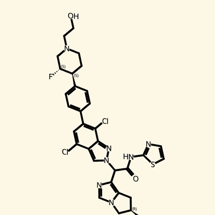 O=C(Nc1nccs1)C(c1ncn2c1C[C@@H](F)C2)n1cc2c(Cl)cc(-c3ccc([C@@H]4CCN(CCO)C[C@H]4F)cc3)c(Cl)c2n1